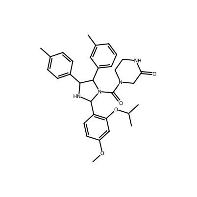 COc1ccc(C2NC(c3ccc(C)cc3)C(c3cccc(C)c3)N2C(=O)N2CCNC(=O)C2)c(OC(C)C)c1